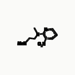 CNCCN(C)c1ncccc1[N+](=O)[O-]